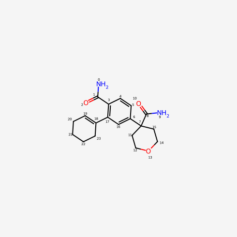 NC(=O)c1ccc(C2(C(N)=O)CCOCC2)cc1C1=CCCCC1